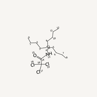 CCCC[Si](CCCC)(CCCC)NC(=O)C(Cl)(Cl)Cl